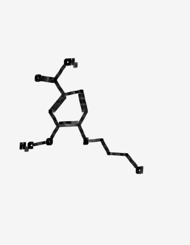 COc1cc(C(C)=O)ccc1SCCCCl